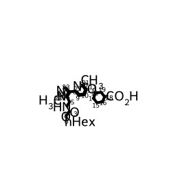 CCCCCCOC(=O)NCc1c(-c2ccc(O[C@H]3CCCC(C(=O)O)C3)c(C)n2)cnn1C